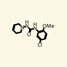 COc1ccc(Cl)cc1NC(=O)NN1CC=CCC1